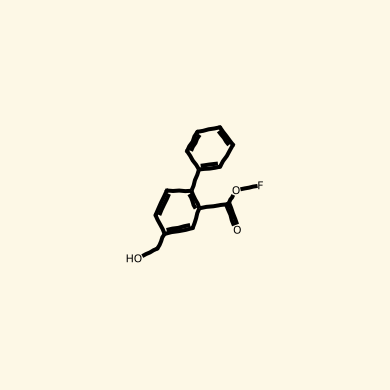 O=C(OF)c1cc(CO)ccc1-c1ccccc1